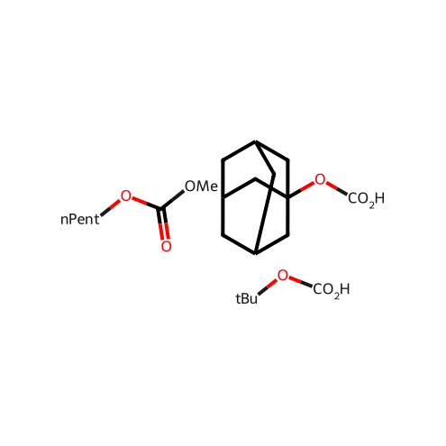 CC(C)(C)OC(=O)O.CCCCCOC(=O)OC.O=C(O)OC12CC3CC(CC(C3)C1)C2